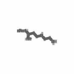 CCCCCC(CCC)CCOCCO